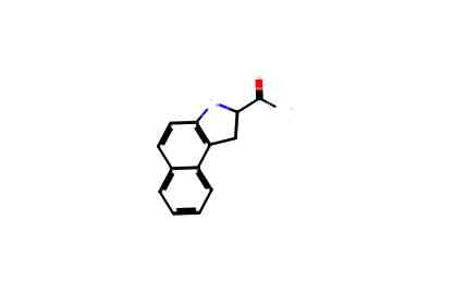 COC(=O)C1Cc2c(ccc3ccccc23)N1